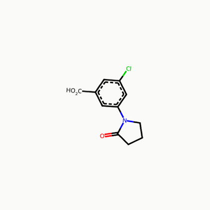 O=C(O)c1cc(Cl)cc(N2CCCC2=O)c1